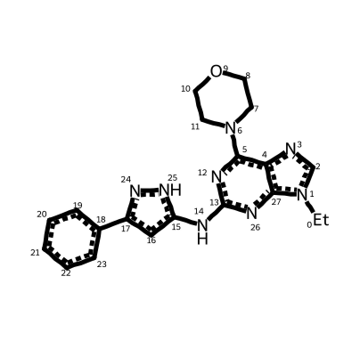 CCn1cnc2c(N3CCOCC3)nc(Nc3cc(-c4ccccc4)n[nH]3)nc21